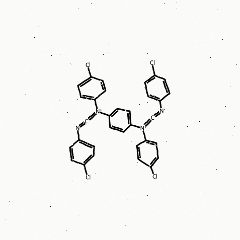 Clc1ccc(N=C=[N+](c2ccc(Cl)cc2)c2ccc([N+](=C=Nc3ccc(Cl)cc3)c3ccc(Cl)cc3)cc2)cc1